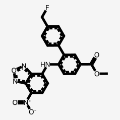 COC(=O)c1ccc(Nc2ccc([N+](=O)[O-])c3nonc23)c(-c2ccc(CF)cc2)c1